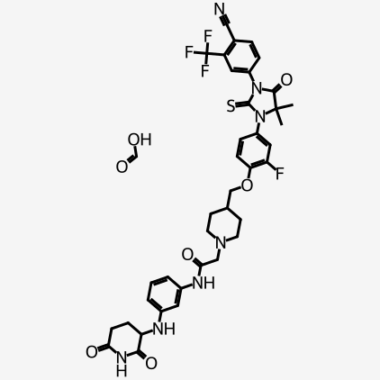 CC1(C)C(=O)N(c2ccc(C#N)c(C(F)(F)F)c2)C(=S)N1c1ccc(OCC2CCN(CC(=O)Nc3cccc(NC4CCC(=O)NC4=O)c3)CC2)c(F)c1.O=CO